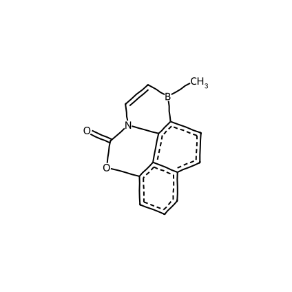 CB1C=CN2C(=O)Oc3cccc4ccc1c2c34